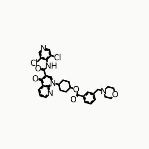 O=C(OC1CCC(n2cc(C(=O)Nc3c(Cl)cncc3Cl)c(=O)c3cccnc32)CC1)c1cccc(CN2CCOCC2)c1